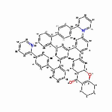 O=C1C2=C(CCCC2)OC2C=C(c3ccccc3-c3cc(-c4ccccc4-c4ccc(-c5ccccn5)cc4)cc(-c4ccccc4-c4ccc(-c5ccccn5)cc4)c3)C=CC12